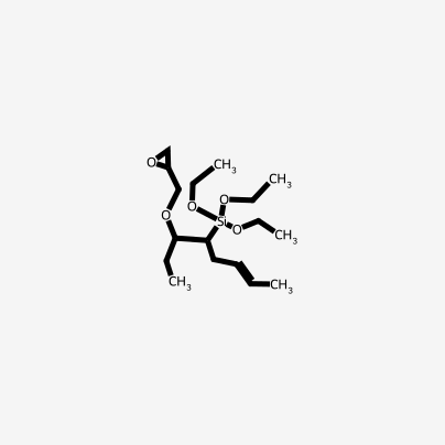 CC=CCC(C(CC)OCC1CO1)[Si](OCC)(OCC)OCC